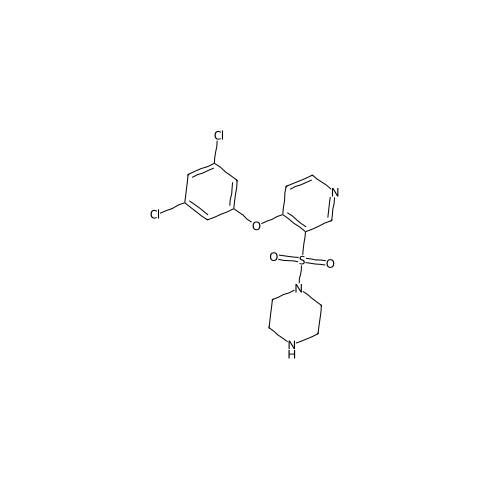 O=S(=O)(c1cnccc1Oc1cc(Cl)cc(Cl)c1)N1CCNCC1